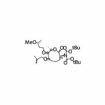 C=C(C)CO[C@H]1CCC[C@H](N(C(=O)OC(C)(C)C)C(=O)OC(C)(C)C)C(=O)O[C@@H](C)[C@@H]1OCCC(C)OC